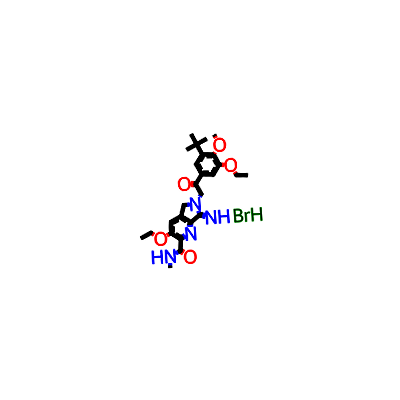 Br.CCOc1cc2c(nc1C(=O)NC)C(=N)N(CC(=O)c1cc(OCC)c(OC)c(C(C)(C)C)c1)C2